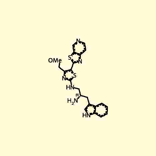 COCc1nc(NC[C@H](N)Cc2c[nH]c3ccccc23)sc1-c1nc2ccncc2s1